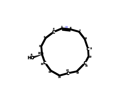 O[C@@H]1CCC/C=C\CCCCCCCCCC1